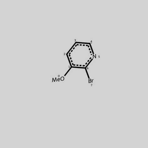 COc1cc[c]nc1Br